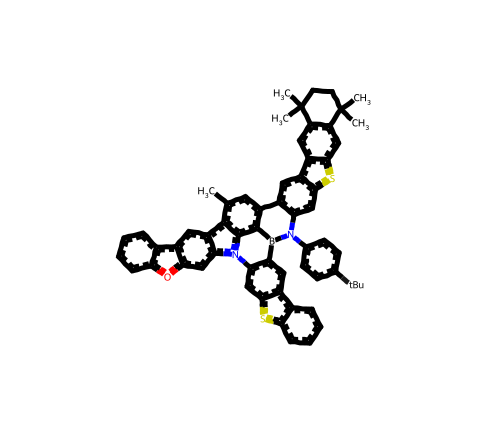 Cc1cc2c3c4c1c1cc5c(cc1n4-c1cc4sc6ccccc6c4cc1B3N(c1ccc(C(C)(C)C)cc1)c1cc3sc4cc6c(cc4c3cc1-2)C(C)(C)CCC6(C)C)oc1ccccc15